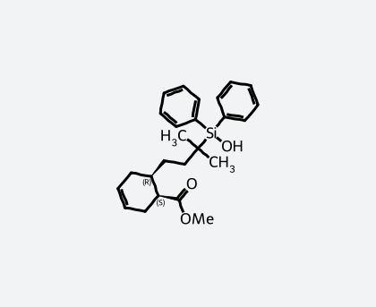 COC(=O)[C@H]1CC=CC[C@H]1CCC(C)(C)[Si](O)(c1ccccc1)c1ccccc1